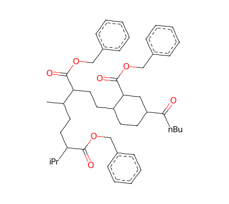 CCCCC(=O)C1CCC(CCC(C(=O)OCc2ccccc2)C(C)CCC(C(=O)OCc2ccccc2)C(C)C)C(C(=O)OCc2ccccc2)C1